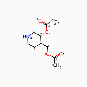 CC(=O)OC[C@H]1CCNC[C@@H]1OC(C)=O